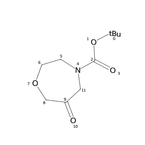 CC(C)(C)OC(=O)N1CCOCC(=O)C1